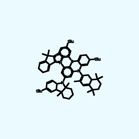 CC1=C(N2C3=CC(C(C)(C)C)CC=C3B3c4c2cc(N2C5C=CC(C(C)(C)C)=CC5C5(C)CCCCC25C)cc4-n2c4c(c5cc(C(C)(C)C)cc3c52)C(C)(C)C2=CCCC=C24)CC2C(=C1)C(C)(C)CCC2(C)C